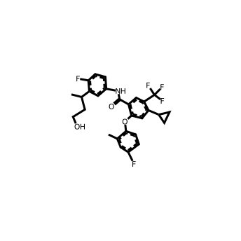 Cc1cc(F)ccc1Oc1cc(C2CC2)c(C(F)(F)F)cc1C(=O)Nc1ccc(F)c(C(C)CCO)c1